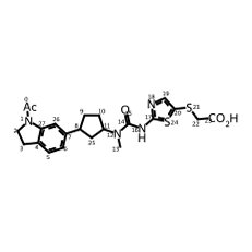 CC(=O)N1CCc2ccc(C3CCC(N(C)C(=O)Nc4ncc(SCC(=O)O)s4)C3)cc21